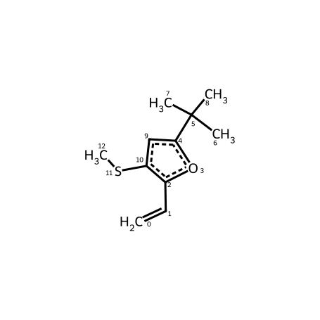 C=Cc1oc(C(C)(C)C)cc1SC